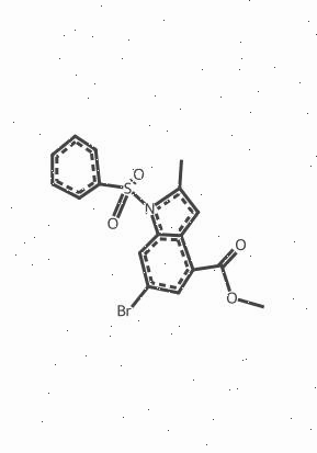 COC(=O)c1cc(Br)cc2c1cc(C)n2S(=O)(=O)c1ccccc1